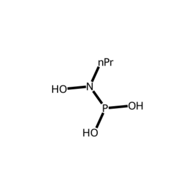 CCCN(O)P(O)O